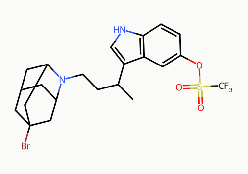 CC(CCN1C2CC3CC1CC(Br)(C3)C2)c1c[nH]c2ccc(OS(=O)(=O)C(F)(F)F)cc12